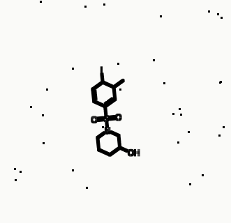 CC1C=C(S(=O)(=O)N2CCCC(O)C2)C=CC1I